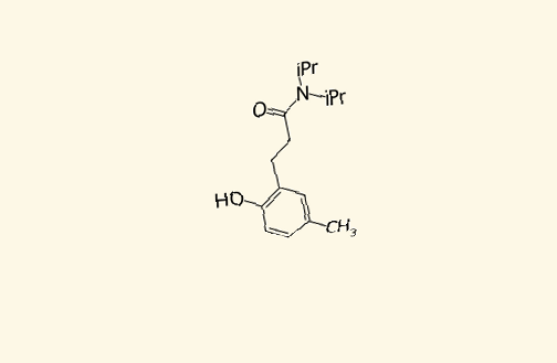 Cc1ccc(O)c(CCC(=O)N(C(C)C)C(C)C)c1